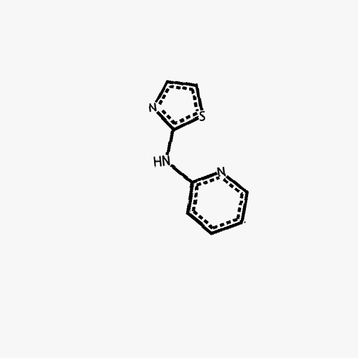 [c]1ccc(Nc2nccs2)nc1